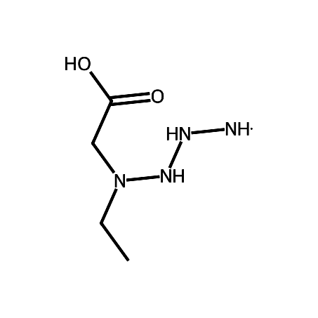 CCN(CC(=O)O)NN[NH]